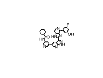 O=C(Nc1cncc(-c2cnc3[nH]nc(-c4nc5c(-c6cc(O)cc(F)c6)nccc5[nH]4)c3c2)c1)C1CCCCC1